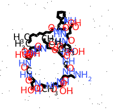 CCC(C)CCCCCCC(=O)NC(Cc1c[nH]c2ccccc12)C(=O)NC(CCC(=O)O)C(=O)NC(CC(=O)O)C(=O)NC1C(=O)NCC(=O)NC(CCCN)C(=O)NC(CC(=O)O)C(=O)NC(C)C(=O)NC(CC(=O)O)C(=O)NCC(=O)NC(CO)C(=O)NC(CCC(=O)O)C(=O)NC(C(C)CC)C(=O)OC1C